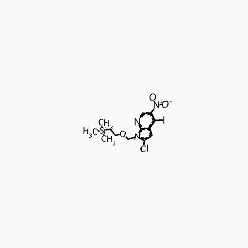 C[Si](C)(C)CCOCn1c(Cl)cc2c(I)c([N+](=O)[O-])cnc21